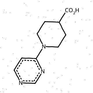 O=C(O)C1CCN(c2ccncn2)CC1